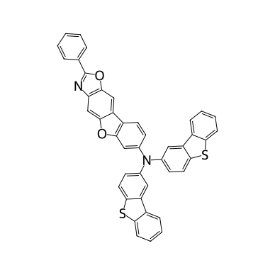 c1ccc(-c2nc3cc4oc5cc(N(c6ccc7sc8ccccc8c7c6)c6ccc7sc8ccccc8c7c6)ccc5c4cc3o2)cc1